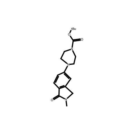 CN1Cc2cc(N3CCN(C(=O)OC(C)(C)C)CC3)ccc2C1=O